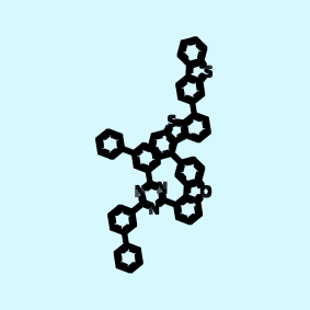 c1ccc(-c2cccc(-c3nc(-c4cccc(-c5ccccc5)c4)nc(-c4cccc5oc6ccc(-c7cccc8sc9c(-c%10ccc%11c(c%10)sc%10ccccc%10%11)cccc9c78)cc6c45)n3)c2)cc1